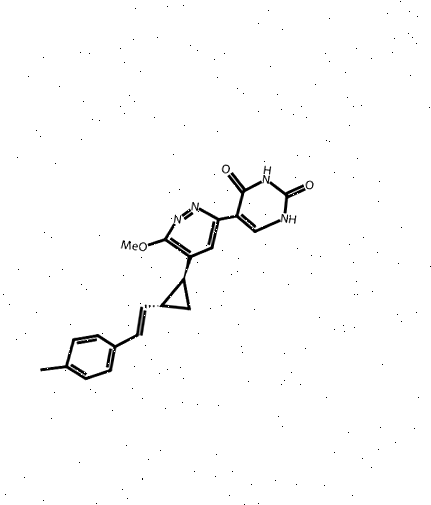 COc1nnc(-c2c[nH]c(=O)[nH]c2=O)cc1[C@H]1C[C@@H]1/C=C/c1ccc(C)cc1